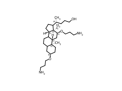 C[C@H](CCCO)C1CC[C@H]2C3CCC4C[C@H](OCCCN)CC[C@]4(C)[C@H]3C[C@H](OCCCN)[C@]12C